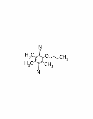 CCCCOc1c(C)c(C#N)c(C)c(C)c1C#N